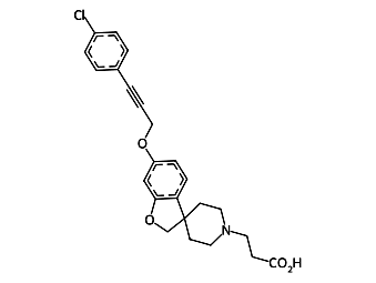 O=C(O)CCN1CCC2(CC1)COc1cc(OCC#Cc3ccc(Cl)cc3)ccc12